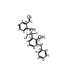 CCC(C)(Pc1ccccc1C=O)c1cccc(Cc2ccccc2)c1O